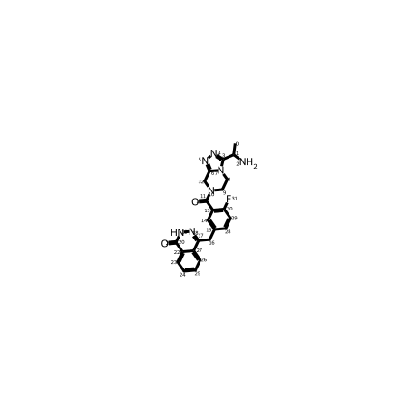 CC(N)c1nnc2n1CCN(C(=O)c1cc(Cc3n[nH]c(=O)c4ccccc34)ccc1F)C2